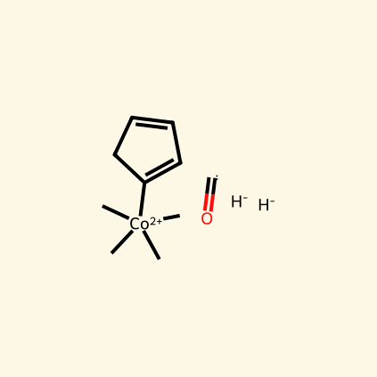 [CH3][Co+2]([CH3])([CH3])([CH3])[C]1=CC=CC1.[C]=O.[H-].[H-]